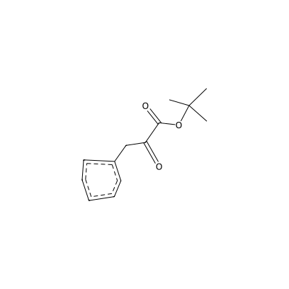 CC(C)(C)OC(=O)C(=O)Cc1ccccc1